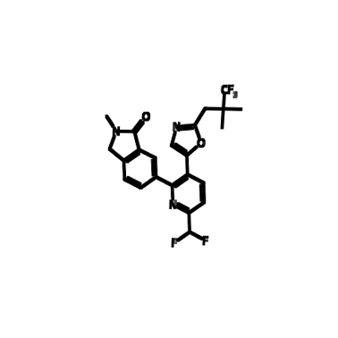 CN1Cc2ccc(-c3nc(C(F)F)ccc3-c3cnc(CC(C)(C)C(F)(F)F)o3)cc2C1=O